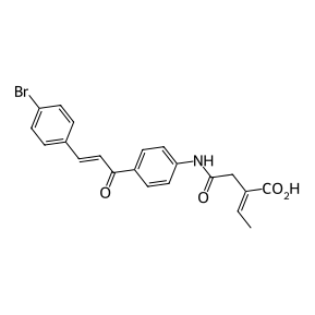 CC=C(CC(=O)Nc1ccc(C(=O)C=Cc2ccc(Br)cc2)cc1)C(=O)O